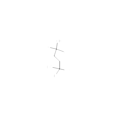 CC(C)(F)CCC(C)(F)F